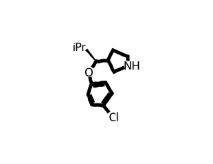 CC(C)[C@H](Oc1ccc(Cl)cc1)C1CCNC1